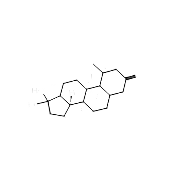 CCC1(O)CC[C@H]2[C@@H]3CCC4CC(=O)CC(C)[C@]4(C)[C@@H]3CC[C@@]21C